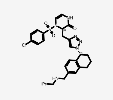 CC(C)CNCc1ccc2c(c1)CCC[C@H]2n1cc(C[C@@H]2C(=O)NC=CN2S(=O)(=O)c2ccc(Cl)cc2)nn1